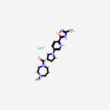 Cc1noc(-c2ccc(N3CC[C@H](C(=O)N4CCCN(C(C)C)CC4)C3)cn2)n1.Cl